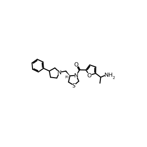 CC(N)c1ccc(C(=O)N2CSC[C@H]2CN2CCC(c3ccccc3)C2)o1